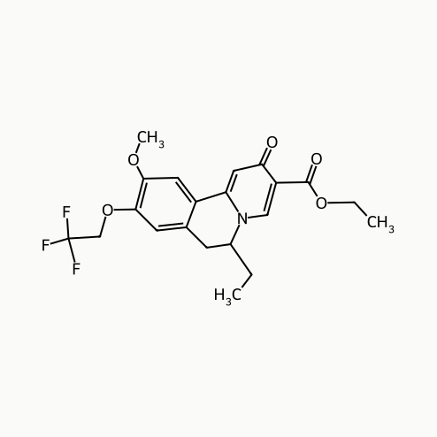 CCOC(=O)c1cn2c(cc1=O)-c1cc(OC)c(OCC(F)(F)F)cc1CC2CC